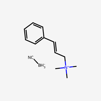 C[N+](C)(C)CC=Cc1ccccc1.[BH3-]C#N